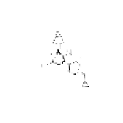 Nc1c(C2=CCN(CC3CC3)CC2)cc(Cl)nc1N1CC2CC2C1